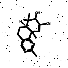 Cc1ncc2c(n1)[C@@]1(C)C=C(C#N)C(O)C(C)(C)[C@@H]1CC2